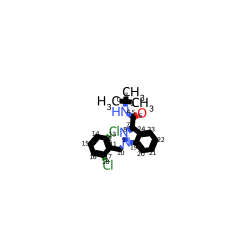 CC(C)(C)NC(=O)c1nn(Cc2c(Cl)cccc2Cl)c2ccccc12